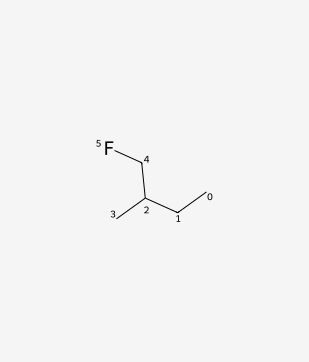 CCC(C)CF